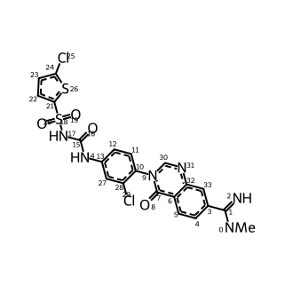 CNC(=N)c1ccc2c(=O)n(-c3ccc(NC(=O)NS(=O)(=O)c4ccc(Cl)s4)cc3Cl)cnc2c1